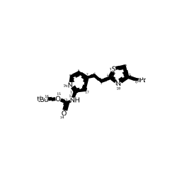 CC(C)c1csc(CCc2ccnc(NC(=O)OC(C)(C)C)c2)n1